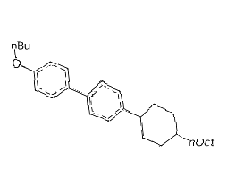 CCCCCCCCC1CCC(c2ccc(-c3ccc(OCCCC)cc3)cc2)CC1